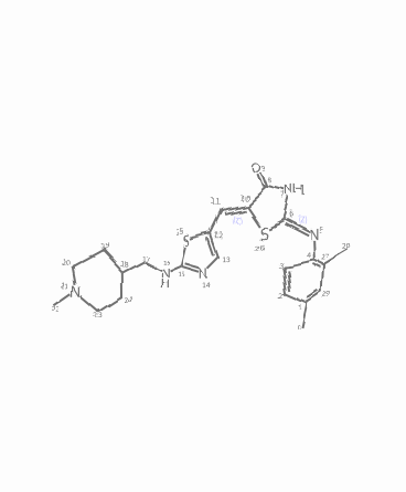 Cc1ccc(/N=C2/NC(=O)/C(=C/c3cnc(NCC4CCN(C)CC4)s3)S2)c(C)c1